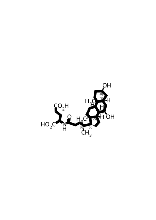 C[C@H](CCC(=O)NC(CCC(=O)O)C(=O)O)[C@H]1CC[C@H]2[C@@H]3[C@H](O)C[C@@H]4C[C@H](O)CC[C@]4(C)[C@H]3CC[C@]12C